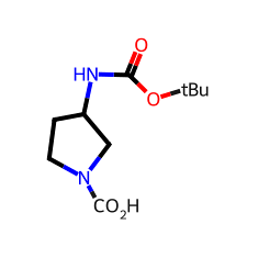 CC(C)(C)OC(=O)NC1CCN(C(=O)O)C1